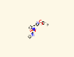 COC(=O)c1ccc(C#Cc2ccccc2NS(=O)(=O)c2cnn(-c3ccccc3)c2)cn1